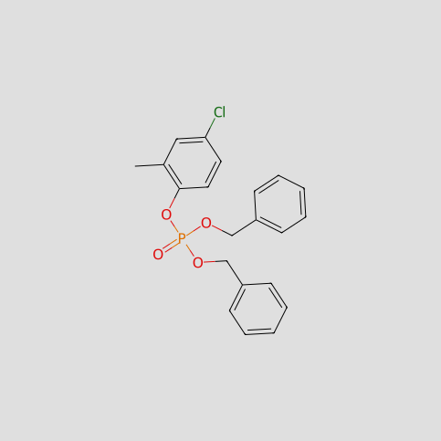 Cc1cc(Cl)ccc1OP(=O)(OCc1ccccc1)OCc1ccccc1